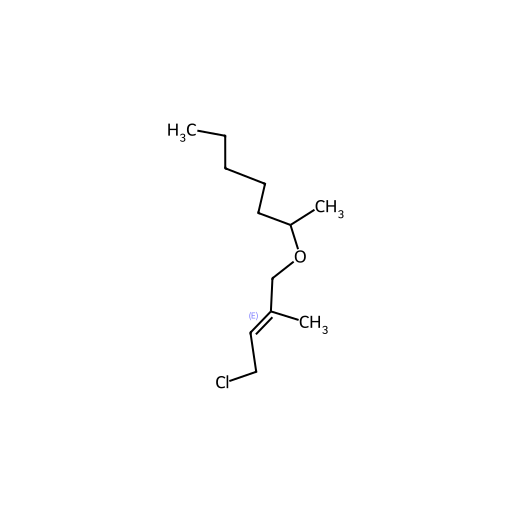 CCCCCC(C)OC/C(C)=C/CCl